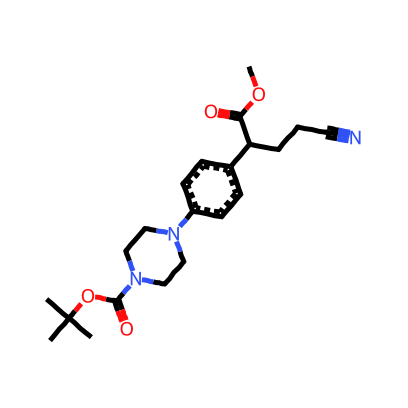 COC(=O)C(CCC#N)c1ccc(N2CCN(C(=O)OC(C)(C)C)CC2)cc1